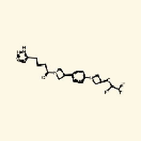 O=C(CCCc1cnn[nH]1)N1CC(c2ccc(N3CC(OC(F)C(F)F)C3)cc2)C1